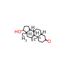 CC[C@]12CCC(=O)C[C@@H]1CC[C@@H]1[C@@H]2CC[C@]2(C)C(O)CC[C@@H]12